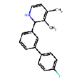 CC1=C(C)C(c2cccc(-c3ccc(F)cc3)c2)NC=C1